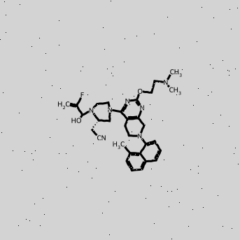 C=C(F)C(O)N1CCN(c2nc(OCCN(C)C)nc3c2CCN(c2cccc4cccc(C)c24)C3)C[C@@H]1CC#N